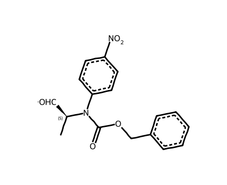 C[C@@H]([C]=O)N(C(=O)OCc1ccccc1)c1ccc([N+](=O)[O-])cc1